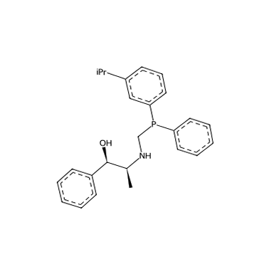 CC(C)c1cccc(P(CN[C@@H](C)[C@H](O)c2ccccc2)c2ccccc2)c1